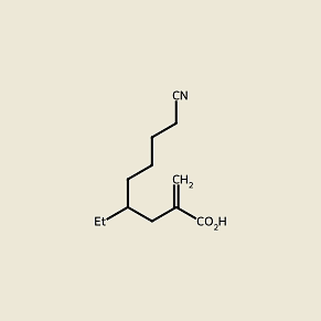 C=C(CC(CC)CCCCC#N)C(=O)O